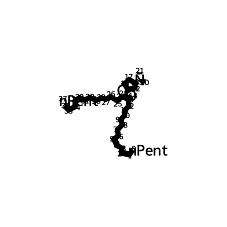 CCCCC/C=C\C/C=C\CCCCCCCC1OC2(CCC(N(C)C)C2)OC1CCCCCCC/C=C\C/C=C\CCCCC